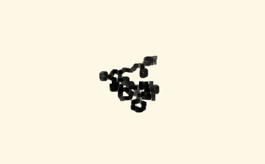 O=C(O)CCCC1CC(=O)N(O)C1=O.O=C1NC(=O)C(c2ccccc2)(c2ccccc2)N1